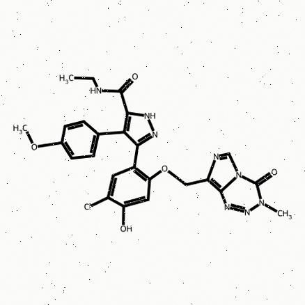 CCNC(=O)c1[nH]nc(-c2cc(Cl)c(O)cc2OCc2ncn3c(=O)n(C)nnc23)c1-c1ccc(OC)cc1